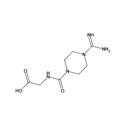 N=C(N)N1CCN(C(=O)NCC(=O)O)CC1